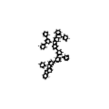 C1=Cc2sc3c(ccc4c5cc(-c6ccc7c(c6)c6cc(-c8ccc9c(c8)c8cc%10c(cc8n9-c8cc(-c9ccccc9)cc(-c9ccccc9)c8)c8ccccc8n%10-c8ccccc8)ccc6n7-c6ccccc6)ccc5n(-c5ccccc5)c43)c2CC1